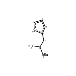 CCCCC(C)Cc1cccs1